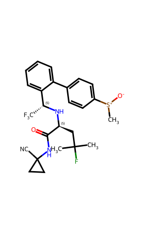 C[S+]([O-])c1ccc(-c2ccccc2[C@H](N[C@@H](CC(C)(C)F)C(=O)NC2(C#N)CC2)C(F)(F)F)cc1